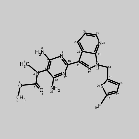 COC(=O)N(C)c1c(N)nc(-c2nn(Cc3ccc(F)s3)c3ncccc23)nc1N